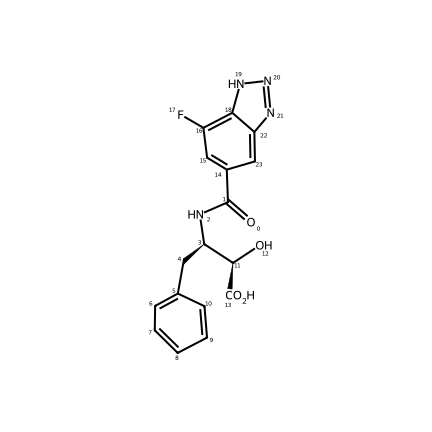 O=C(N[C@H](Cc1ccccc1)[C@@H](O)C(=O)O)c1cc(F)c2[nH]nnc2c1